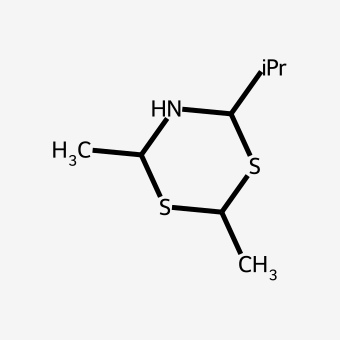 CC1NC(C(C)C)SC(C)S1